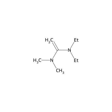 C=C(N(C)C)N(CC)CC